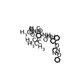 COc1c(NC(=O)Nc2ccc(Oc3ccnc(Oc4ccccc4)n3)c3ccccc23)cc(C(C)(C)C)cc1NS(C)(=O)=O